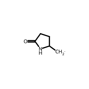 [CH2]C1CCC(=O)N1